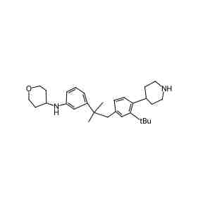 CC(C)(C)c1cc(CC(C)(C)c2cccc(NC3CCOCC3)c2)ccc1C1CCNCC1